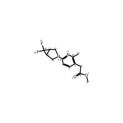 COC(=O)Cc1ccc(N2CC3C(C2)C3(F)F)nc1C